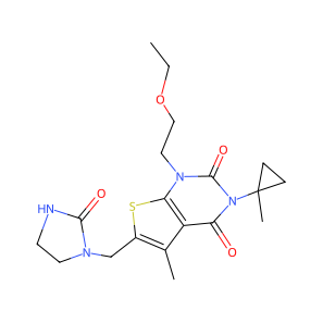 CCOCCn1c(=O)n(C2(C)CC2)c(=O)c2c(C)c(CN3CCNC3=O)sc21